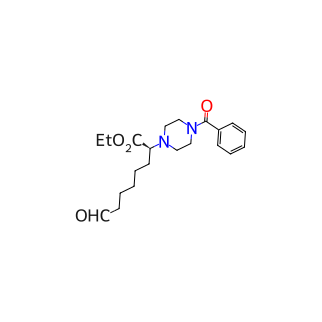 CCOC(=O)[C@H](CCCCCC=O)N1CCN(C(=O)c2ccccc2)CC1